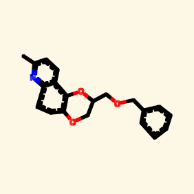 Cc1ccc2c3c(ccc2n1)OCC(COCc1ccccc1)O3